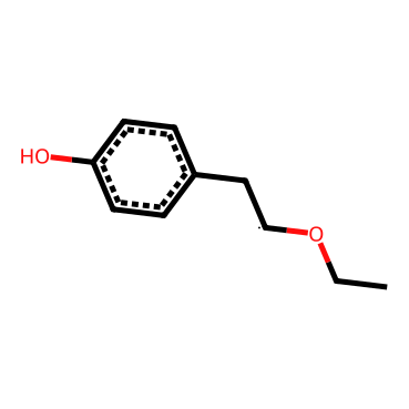 CCO[CH]Cc1ccc(O)cc1